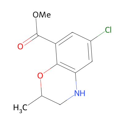 COC(=O)c1cc(Cl)cc2c1OC(C)CN2